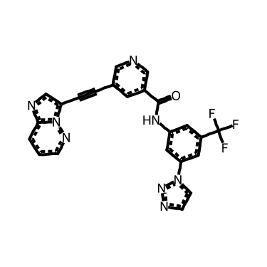 O=C(Nc1cc(-n2ccnn2)cc(C(F)(F)F)c1)c1cncc(C#Cc2cnc3cccnn23)c1